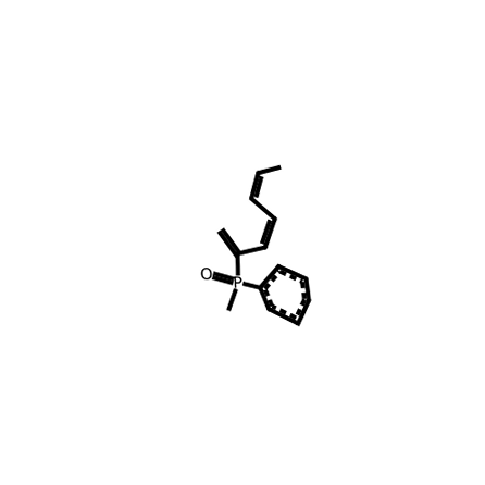 C=C(/C=C\C=C/C)P(C)(=O)c1ccccc1